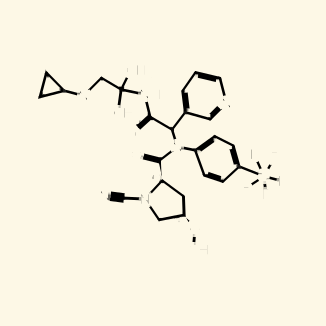 CO[C@@H]1C[C@H](C(=O)N(c2ccc(S(F)(F)(F)(F)F)cc2)C(C(=O)NC(C)(C)CNC2CC2)c2cccnc2)N(C#N)C1